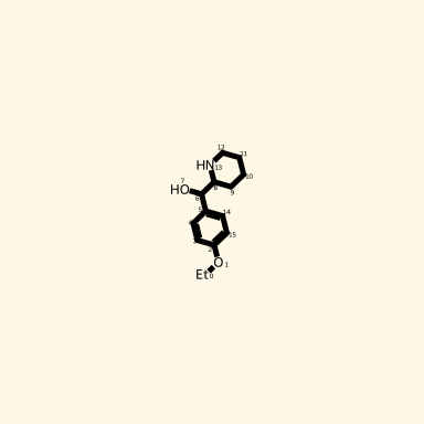 CCOc1ccc(C(O)C2CCCCN2)cc1